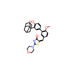 COc1ccc(C=C2SC(N3CCOCC3)=NC2=O)cc1-c1ccc(O)c(C23CC4CC(CC(C4)C2)C3)c1